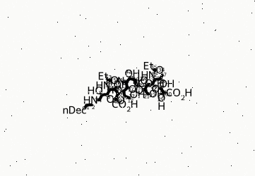 CCCCCCCCCCCCNCC(O)C1OC(OC(CO)C(O)C2OC(OC(CO)C(O)C(OC[C@@H](O)C(=O)O)C(NC(=O)CC)C(C)O)(C(=O)O)CC(O)C2N)(C(=O)O)CC(O)C1NC(=O)CC